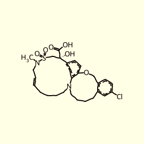 CN1C/C=C/CCCCN2CCCCc3cc(Cl)ccc3COc3ccc(cc32)[C@](O)(C(=O)O)CS1(=O)=O